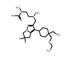 CCOCC1(CC)CCC(c2c(CN(C)CCN(C)C(=O)O)nn3c2CC(F)(F)C3)CC1